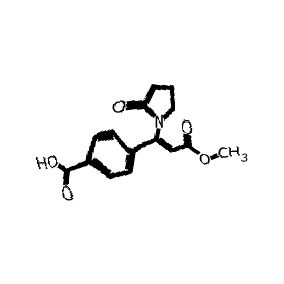 COC(=O)C=C(c1ccc(C(=O)O)cc1)N1CCCC1=O